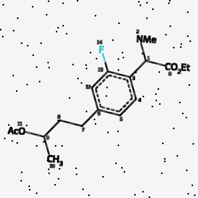 CCOC(=O)C(NC)c1ccc(CCC(C)OC(C)=O)cc1F